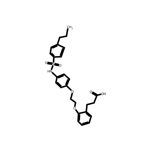 CCCc1ccc(S(=O)(=O)Nc2ccc(OCCOc3ccccc3CCC(=O)O)cc2)cc1